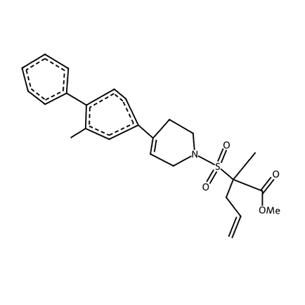 C=CCC(C)(C(=O)OC)S(=O)(=O)N1CC=C(c2ccc(-c3ccccc3)c(C)c2)CC1